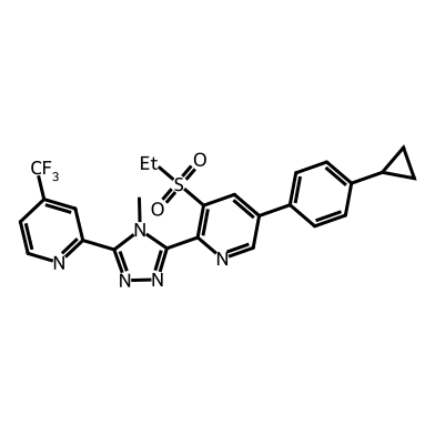 CCS(=O)(=O)c1cc(-c2ccc(C3CC3)cc2)cnc1-c1nnc(-c2cc(C(F)(F)F)ccn2)n1C